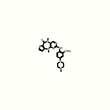 COc1cc(N2CCN(C)CC2)ccc1Nc1ncc2c(n1)N(C)c1ccsc1C(=O)N2C